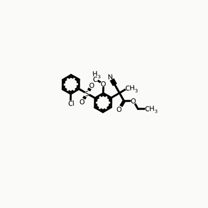 CCOC(=O)C(C)(C#N)c1cccc(S(=O)(=O)c2ccccc2Cl)c1OC